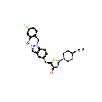 O=C1N=C(N2CCC(C(=O)O)CC2)S/C1=C\c1ccc2c(cnn2Cc2ccc(F)cc2C(F)(F)F)c1